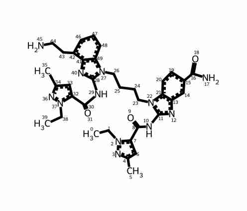 CCn1nc(C)cc1C(=O)Nc1nc2cc(C(N)=O)ccc2n1CCCCn1c(NC(=O)c2cc(C)nn2CC)nc2c(CCN)cccc21